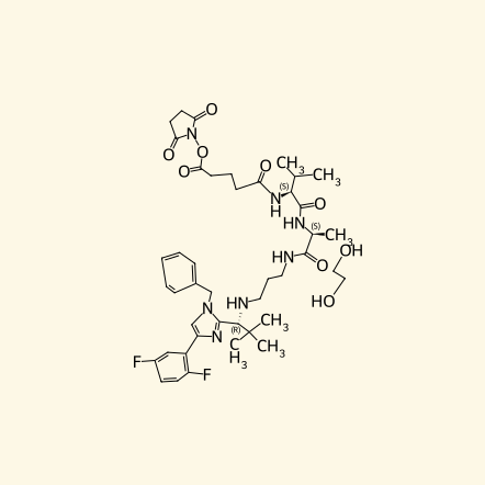 CC(C)[C@H](NC(=O)CCCC(=O)ON1C(=O)CCC1=O)C(=O)N[C@@H](C)C(=O)NCCCN[C@@H](c1nc(-c2cc(F)ccc2F)cn1Cc1ccccc1)C(C)(C)C.OCCO